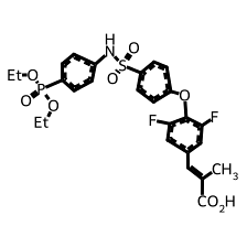 CCOP(=O)(OCC)c1ccc(NS(=O)(=O)c2ccc(Oc3c(F)cc(/C=C(\C)C(=O)O)cc3F)cc2)cc1